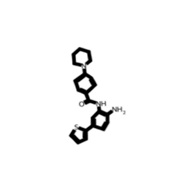 Nc1ccc(-c2cccs2)cc1NC(=O)c1ccc(N2CCCCC2)cc1